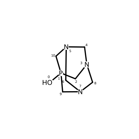 O[P]12CN3CN(CN(C3)C1)C2